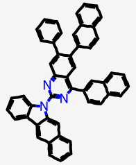 c1ccc(-c2cc3nc(-n4c5ccccc5c5cc6ccccc6cc54)nc(-c4ccc5ccccc5c4)c3cc2-c2ccc3ccccc3c2)cc1